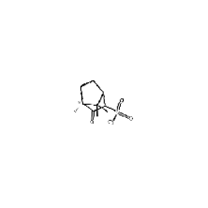 CC1(C)C2CC[C@]1(C)C(=O)C2S(=O)(=O)Cl